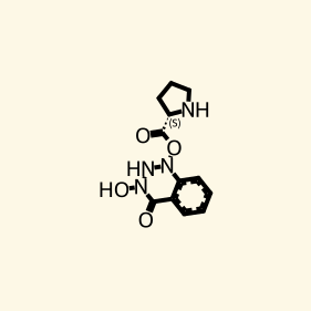 O=C(ON1NN(O)C(=O)c2ccccc21)[C@@H]1CCCN1